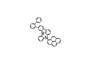 c1ccc(-c2ccccc2-c2ccc3c(c2)B2c4ccccc4N(c4ccc5ccc6cccc7ccc4c5c67)c4cccc-3c42)cc1